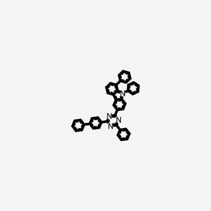 c1ccc(-c2ccc(-c3nc(-c4ccccc4)nc(-c4ccc5c(c4)c4cccc(-c6ccccc6)c4n5-c4ccccc4)n3)cc2)cc1